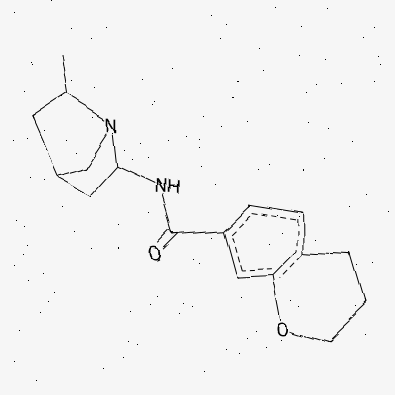 CC1CC2CC(NC(=O)c3ccc4c(c3)OCCC4)N1C2